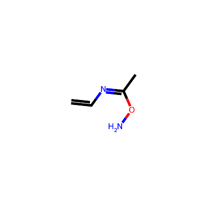 C=C/N=C(/C)ON